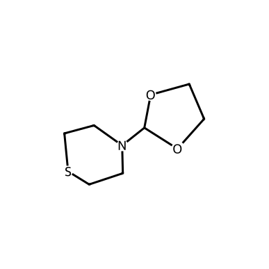 C1COC(N2CCSCC2)O1